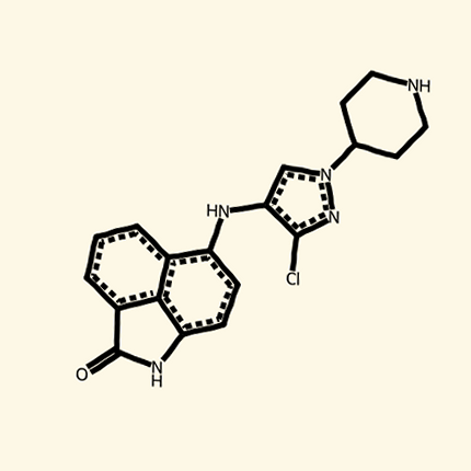 O=C1Nc2ccc(Nc3cn(C4CCNCC4)nc3Cl)c3cccc1c23